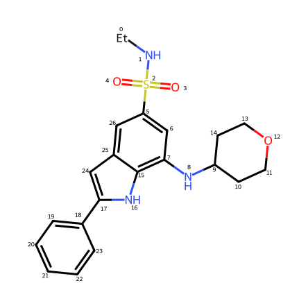 CCNS(=O)(=O)c1cc(NC2CCOCC2)c2[nH]c(-c3ccccc3)cc2c1